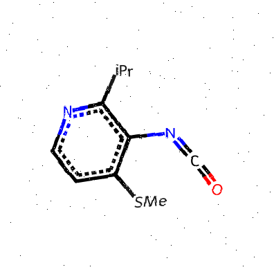 CSc1ccnc(C(C)C)c1N=C=O